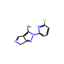 CC(C)(C)c1c2c(nn1-c1cccc(Cl)n1)CN=C2